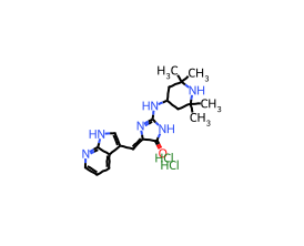 CC1(C)CC(NC2=N/C(=C\c3c[nH]c4ncccc34)C(=O)N2)CC(C)(C)N1.Cl.Cl